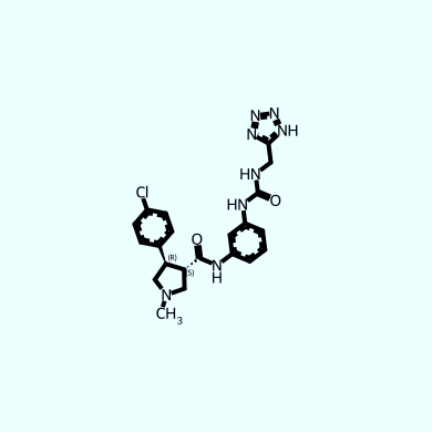 CN1C[C@@H](C(=O)Nc2cccc(NC(=O)NCc3nnn[nH]3)c2)[C@H](c2ccc(Cl)cc2)C1